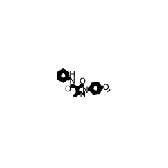 COc1ccc(N2N=C(C)C(C(=O)Nc3ccccc3)C2=O)cc1